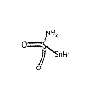 N[S](=O)(=O)[SnH]